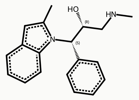 CNC[C@@H](O)[C@H](c1ccccc1)n1c(C)cc2ccccc21